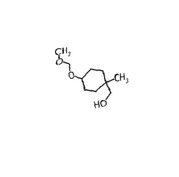 COCOC1CCC(C)(CO)CC1